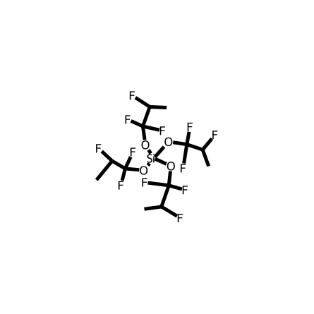 CC(F)C(F)(F)O[Si](OC(F)(F)C(C)F)(OC(F)(F)C(C)F)OC(F)(F)C(C)F